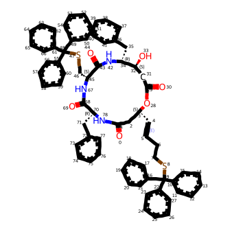 O=C1C[C@@H](/C=C/CCSC(c2ccccc2)(c2ccccc2)c2ccccc2)OC(=O)C[C@H](O)[C@@H](Cc2ccccc2)NC(=O)[C@@H](CSC(c2ccccc2)(c2ccccc2)c2ccccc2)NC(=O)[C@@H](Cc2ccccc2)N1